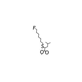 COC(=O)C(CC(C)C)SCCCCCCCF